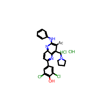 CC(=O)c1c(Nc2ccccc2)nc2ccc(-c3cc(Cl)c(O)c(Cl)c3)nc2c1CN1CCCC1.Cl.Cl